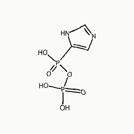 O=P(O)(O)OP(=O)(O)c1cnc[nH]1